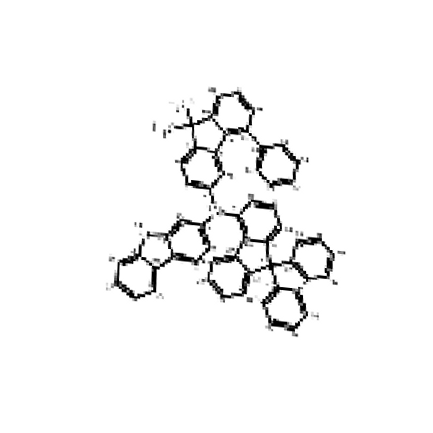 CC1(C)c2ccc(N(c3ccc4c(c3)oc3ccccc34)c3cccc4c3-c3ccccc3C4(c3ccccc3)c3ccccc3)cc2-c2c(-c3ccccc3)cccc21